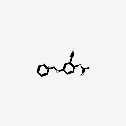 CC(=O)Oc1ccc(OCc2ccccc2)cc1C#N